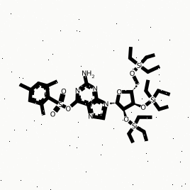 CC[Si](CC)(CC)OC[C@H]1O[C@@H](n2cnc3c(OS(=O)(=O)c4c(C)cc(C)cc4C)nc(N)nc32)[C@H](O[Si](CC)(CC)CC)[C@@H]1O[Si](CC)(CC)CC